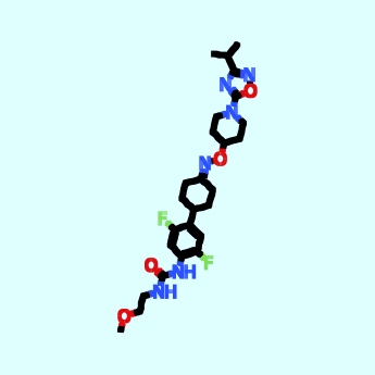 COCCNC(=O)Nc1cc(F)c(C2CCC(=NOC3CCN(c4nc(C(C)C)no4)CC3)CC2)cc1F